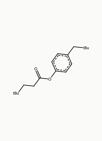 CC(C)(C)CCC(=O)Oc1ccc(CC(C)(C)C)cc1